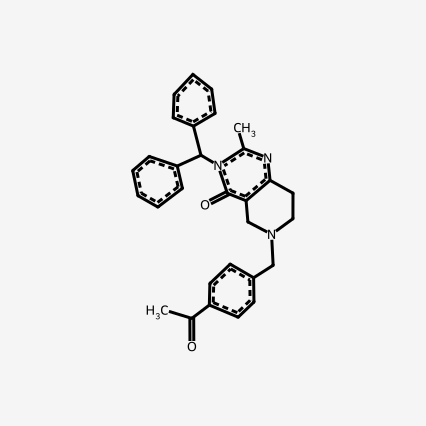 CC(=O)c1ccc(CN2CCc3nc(C)n(C(c4ccccc4)c4ccccc4)c(=O)c3C2)cc1